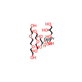 CC(C)O.CCCO.CCO.OCC(O)CO.OCCO.OCCOCCO.OCCOCCOCCO